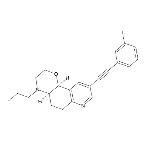 CCCN1CCO[C@H]2c3cc(C#Cc4cccc(C)c4)cnc3CC[C@H]21